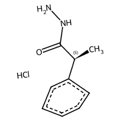 C[C@H](C(=O)NN)c1ccccc1.Cl